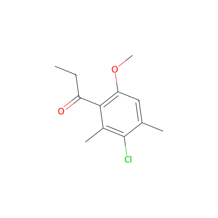 CCC(=O)c1c(OC)cc(C)c(Cl)c1C